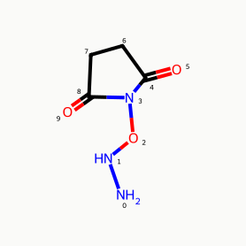 NNON1C(=O)CCC1=O